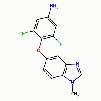 Cn1cnc2cc(Oc3c(F)cc(N)cc3Cl)ccc21